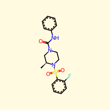 C[C@H]1CN(C(=O)Nc2ccccc2)CCN1S(=O)(=O)c1ccccc1F